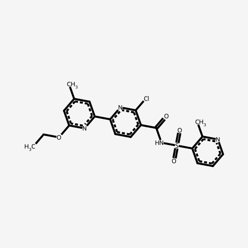 CCOc1cc(C)cc(-c2ccc(C(=O)NS(=O)(=O)c3cccnc3C)c(Cl)n2)n1